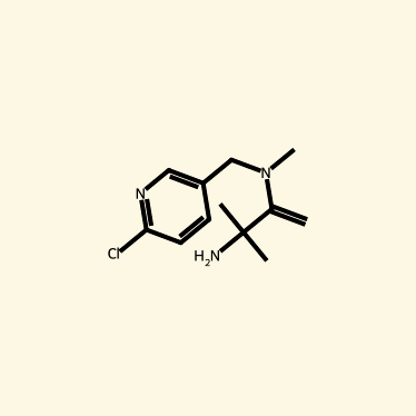 C=C(N(C)Cc1ccc(Cl)nc1)C(C)(C)N